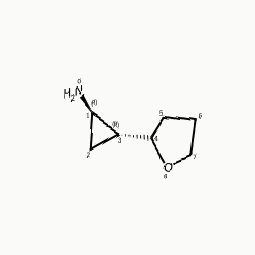 N[C@@H]1C[C@H]1C1CCCO1